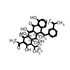 C=C(C)c1cccc(/C=C2\c3cccc(O)c3C(=O)C3=C(O)[C@@]4(O)C(=O)C(C(C)=O)=C(O)C(C(C)C)[C@@]4(C)[C@H](O)[C@]32C)c1